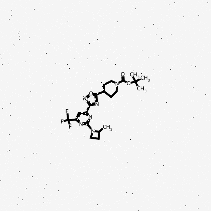 CC1CCN1c1nc(-c2noc(C3CCN(C(=O)OC(C)(C)C)CC3)n2)cc(C(F)(F)F)n1